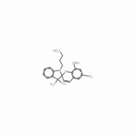 COc1cc([N+](=O)[O-])cc2c1OC1(C=C2)N(CCCC(=O)O)c2ccccc2C1(C)C